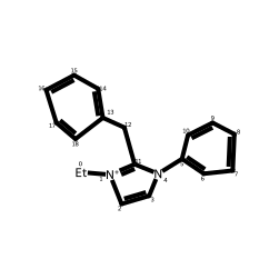 CC[n+]1ccn(-c2ccccc2)c1Cc1ccccc1